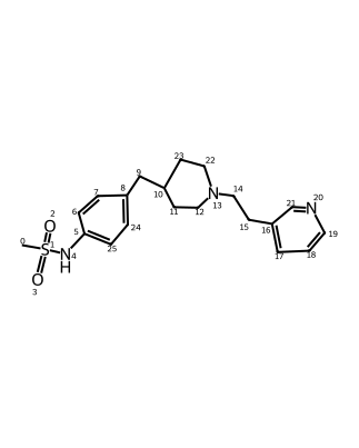 CS(=O)(=O)Nc1ccc(CC2CCN(CCc3cccnc3)CC2)cc1